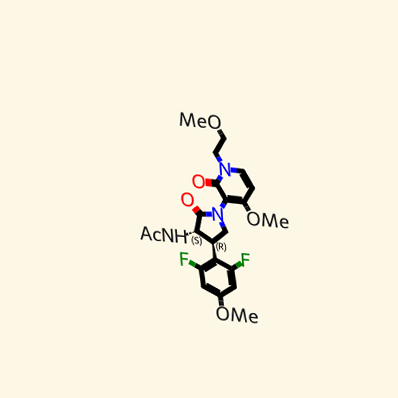 COCCn1ccc(OC)c(N2C[C@@H](c3c(F)cc(OC)cc3F)[C@H](NC(C)=O)C2=O)c1=O